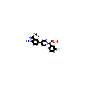 Cc1n[nH]c2ccc(C3=CCN([C@H](CO)c4cccc(Cl)c4)C=C3)cc12